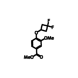 COC(=O)c1ccc(OC2CC(F)(F)C2)c(OC)c1